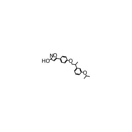 CC(C)Oc1cccc(C(C)COc2ccc(-c3cc(O)no3)cc2)c1